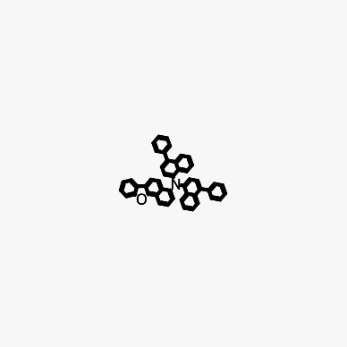 c1ccc(-c2ccc(N(c3ccc(-c4ccccc4)c4ccccc34)c3cccc4c3ccc3c5ccccc5oc43)c3ccccc23)cc1